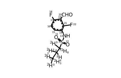 [2H]C([2H])([2H])C([2H])([2H])C([2H])([2H])S(=O)(=O)Nc1ccc(F)c(C=O)c1F